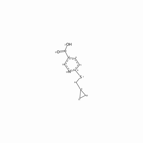 O=C(O)c1ccc(SCC2CC2)nc1